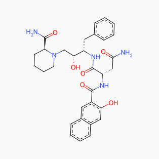 NC(=O)C[C@H](NC(=O)c1cc2ccccc2cc1O)C(=O)N[C@@H](Cc1ccccc1)[C@H](O)CN1CCCC[C@H]1C(N)=O